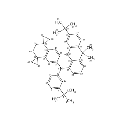 CC(C)(C)c1cccc(N2c3cc4c(cc3B3c5cc(C(C)(C)C)ccc5C(C)(C)c5cccc2c53)C2(CC2)CCC42CC2)c1